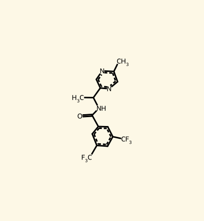 Cc1cnc(C(C)NC(=O)c2cc(C(F)(F)F)cc(C(F)(F)F)c2)cn1